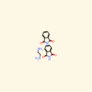 NCCN.O=C1NC(=O)c2ccccc21.O=C1NC(=O)c2ccccc21